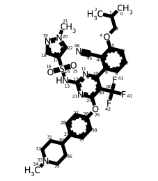 CC(C)COc1cccc(-c2nc(NS(=O)(=O)c3cnn(C)c3)nc(Oc3ccc(C4CCN(C)CC4)cc3)c2C(F)(F)F)c1C#N